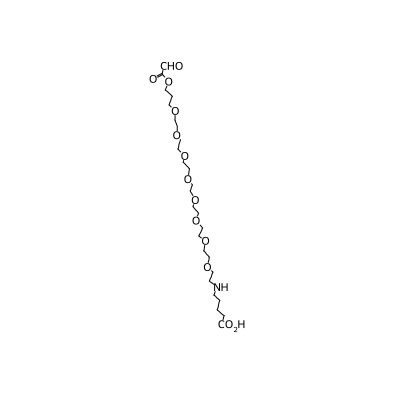 O=CC(=O)OCCCOCCOCCOCCOCCOCCOCCOCCOCCNCCCCC(=O)O